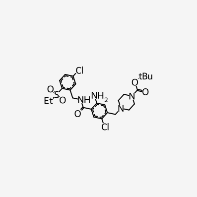 CCS(=O)(=O)c1ccc(Cl)cc1CNC(=O)c1cc(Cl)c(CN2CCN(C(=O)OC(C)(C)C)CC2)cc1N